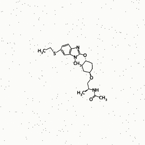 CCSc1ccc2nc(O[C@H]3CC[C@H](OC[C@H](C)NC(C)=O)CC3)n(C)c2c1